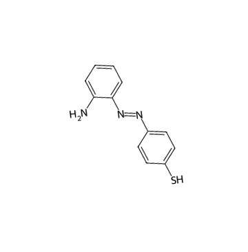 Nc1ccccc1N=Nc1ccc(S)cc1